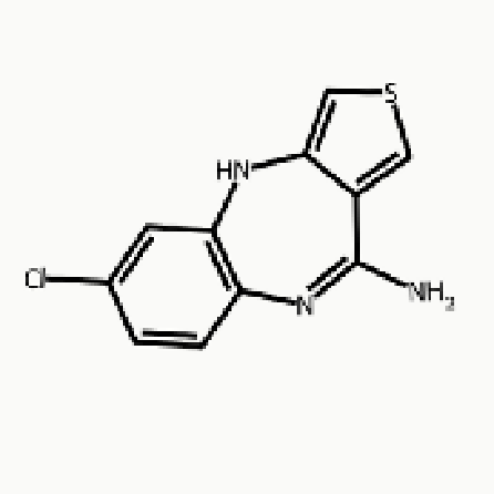 NC1=Nc2ccc(Cl)cc2Nc2cscc21